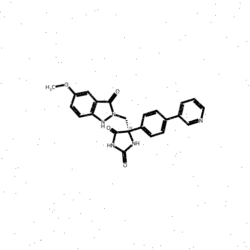 COc1ccc2[nH]n(C[C@]3(c4ccc(-c5cccnc5)cc4)NC(=O)NC3=O)c(=O)c2c1